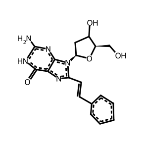 Nc1nc2c(nc(C=Cc3ccccc3)n2[C@H]2CC(O)[C@@H](CO)O2)c(=O)[nH]1